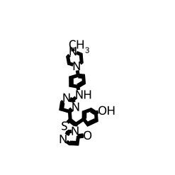 CN1CCN(c2ccc(Nc3nccc(-c4sc5nccc(=O)n5c4-c4ccc(O)cc4)n3)cc2)CC1